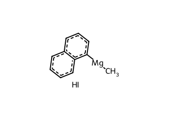 I.[CH3][Mg][c]1cccc2ccccc12